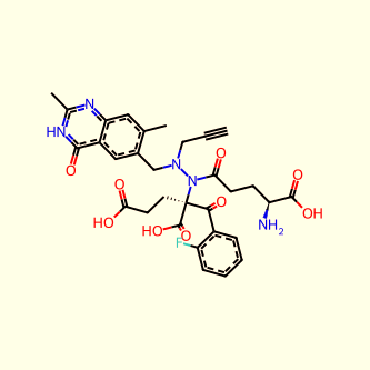 C#CCN(Cc1cc2c(=O)[nH]c(C)nc2cc1C)N(C(=O)CC[C@H](N)C(=O)O)[C@](CCC(=O)O)(C(=O)O)C(=O)c1ccccc1F